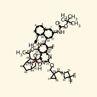 C#Cc1cccc2cc(NC(=O)OC(C)(C)C)cc(-c3nc4c5c(nc(OCC6(CN7CC(F)(F)C7)CC6)nc5c3F)N3CC5CCC(C3C(C)O4)N5C(=O)O)c12